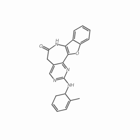 CC1=CC=CCC1Nc1ncc2c(n1)-c1oc3ccccc3c1NC(=O)C2